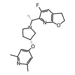 Cc1cc(O[C@@H]2CCN([C@H](C)c3nc4c(cc3F)CCO4)C2)cc(C)n1